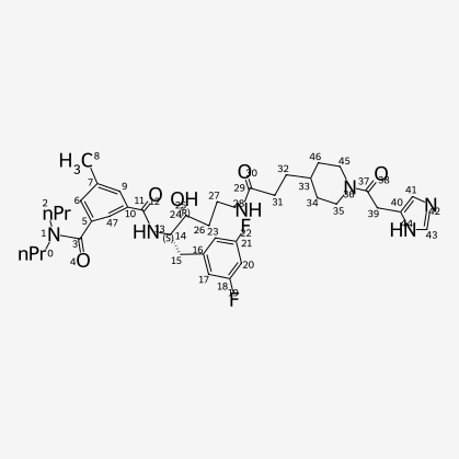 CCCN(CCC)C(=O)c1cc(C)cc(C(=O)N[C@@H](Cc2cc(F)cc(F)c2)[C@H](O)CCNC(=O)CCC2CCN(C(=O)Cc3cnc[nH]3)CC2)c1